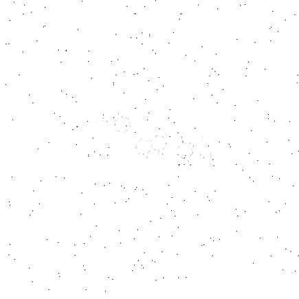 CC(C)Nc1ncc(-c2ccc3cc(Cc4ccnc(N)c4)cnc3n2)c(=O)n1C